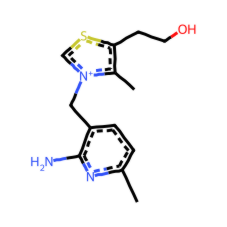 Cc1ccc(C[n+]2csc(CCO)c2C)c(N)n1